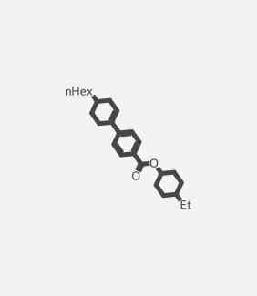 CCCCCCC1CC=C(c2ccc(C(=O)OC3CCC(CC)CC3)cc2)CC1